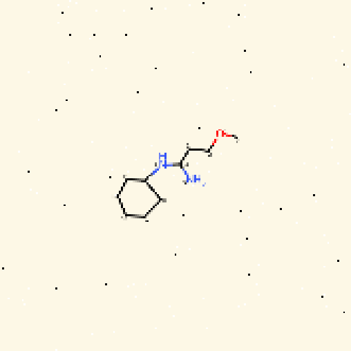 COCCC(N)NC1CCCCC1